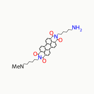 CNCCCCCCN1C(=O)c2ccc3c4ccc5c6c(ccc(c7ccc(c2c37)C1=O)c64)C(=O)N(CCCCCCN)C5=O